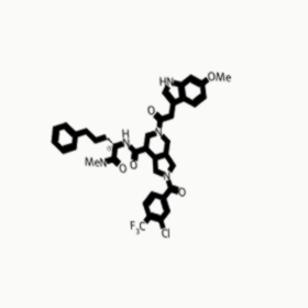 CNC(=O)[C@H](CCCc1ccccc1)NC(=O)C1CN(C(=O)Cc2c[nH]c3cc(OC)ccc23)CC2CN(C(=O)c3ccc(C(F)(F)F)c(Cl)c3)CC21